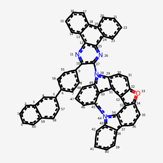 c1ccc2cc(-c3ccc(-c4nc5c6ccccc6c6ccccc6c5nc4-n4c5ccc6oc7ccc8c9ccccc9n9c%10cccc4c%10c5c6c7c89)cc3)ccc2c1